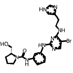 O=C(Nc1cccc(Nc2ncc(Br)c(NCCc3c[nH]cn3)n2)c1)N1CCC[C@@H]1CO